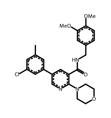 COc1ccc(CNC(=O)c2cc(-c3cc(C)cc(Cl)c3)cnc2N2CCOCC2)cc1OC